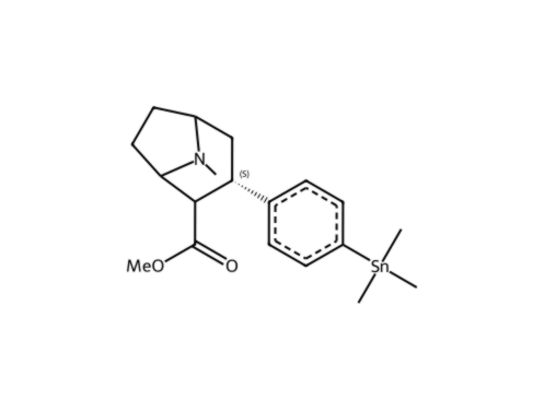 COC(=O)C1C2CCC(C[C@@H]1c1cc[c]([Sn]([CH3])([CH3])[CH3])cc1)N2C